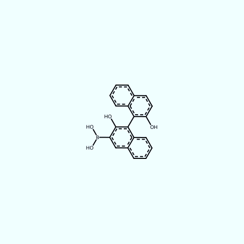 OB(O)c1cc2ccccc2c(-c2c(O)ccc3ccccc23)c1O